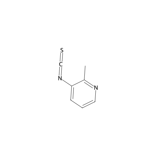 Cc1ncccc1N=C=S